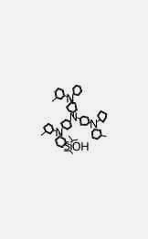 Cc1cccc(N(c2ccccc2)c2ccc(N(c3ccc(N(c4ccccc4)c4cccc(C)c4)cc3)c3ccc(N(c4cccc(C)c4)c4cccc([Si](O)(C(C)C)C(C)C)c4)cc3)cc2)c1